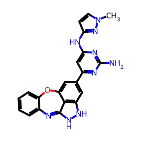 Cn1ccc(Nc2cc(-c3cc4c5c(c3)Oc3ccccc3N=C5NN4)nc(N)n2)n1